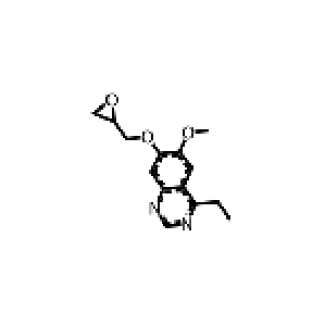 CCc1ncnc2cc(OCC3CO3)c(OC)cc12